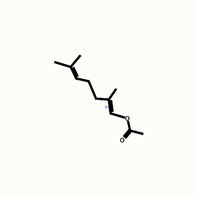 CC(=O)O/C=C(\C)CCC=C(C)C